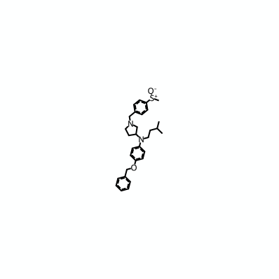 CC(C)CCN(c1ccc(OCc2ccccc2)cc1)C1CCN(Cc2ccc([S+](C)[O-])cc2)C1